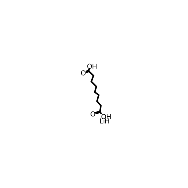 O=C(O)CCCCCCCC(=O)O.[LiH]